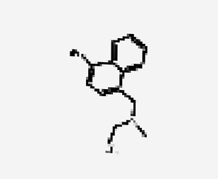 CC(C)c1ccc(CN(C)CC(F)(F)F)c2ccccc12